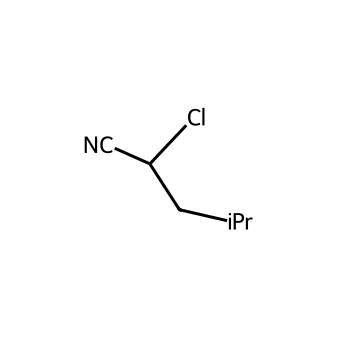 CC(C)CC(Cl)C#N